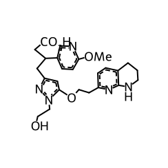 COc1ccc(C(CC(=O)O)Cc2cc(OCCc3ccc4c(n3)NCCC4)n(CCO)n2)cn1